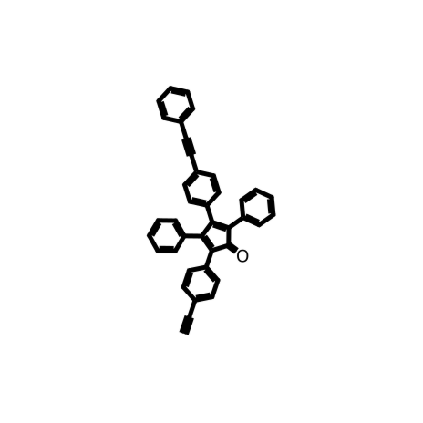 C#Cc1ccc(C2=C(c3ccccc3)C(c3ccc(C#Cc4ccccc4)cc3)=C(c3ccccc3)C2=O)cc1